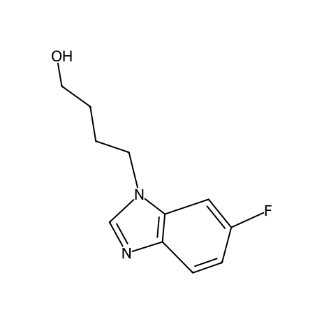 OCCCCn1cnc2ccc(F)cc21